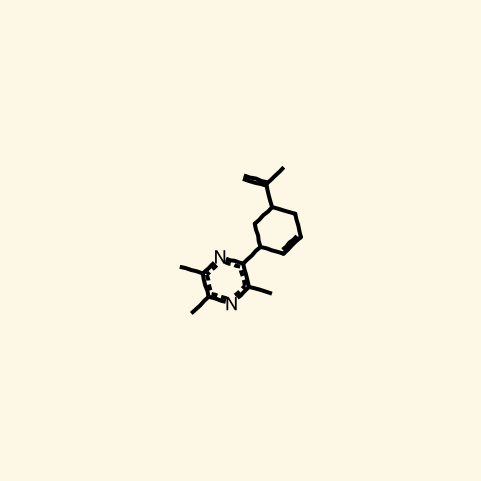 C=C(C)C1CC=CC(c2nc(C)c(C)nc2C)C1